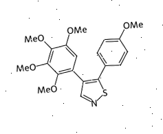 COc1ccc(-c2sncc2-c2cc(OC)c(OC)c(OC)c2OC)cc1